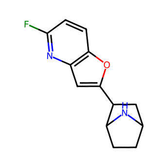 Fc1ccc2oc(C3CC4CCC3N4)cc2n1